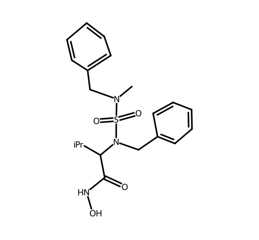 CC(C)C(C(=O)NO)N(Cc1ccccc1)S(=O)(=O)N(C)Cc1ccccc1